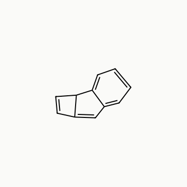 C1=CC2C1=Cc1ccccc12